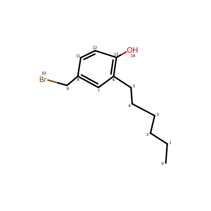 CCCCCCc1cc(CBr)ccc1O